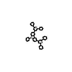 c1ccc(-c2cc(-c3ccc4c(c3)c3cc(-c5cc(-c6ccccc6)nc(-c6ccccc6)c5)ccc3n4-c3ccccc3)cc(-c3ccccc3)n2)cc1